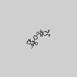 CCn1c(=O)n(-c2ccc(Oc3nc4cc(F)c(F)cc4n3C)cc2)c2ncccc21